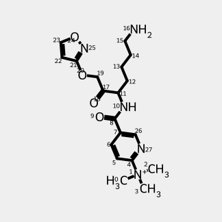 C[N+](C)(C)c1ccc(C(=O)NC(CCCCN)C(=O)COc2ccon2)cn1